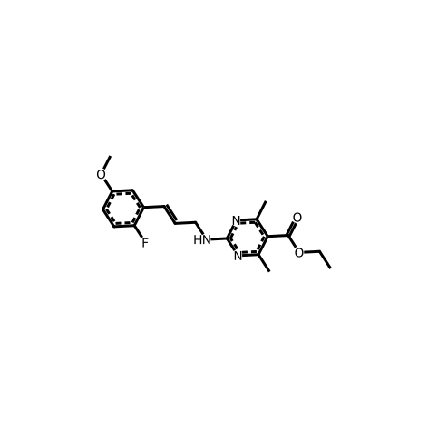 CCOC(=O)c1c(C)nc(NCC=Cc2cc(OC)ccc2F)nc1C